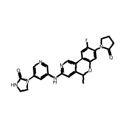 CC1Oc2cc(N3CCCC3=O)c(F)cc2-c2cnc(Nc3cncc(N4CCNC4=O)c3)cc21